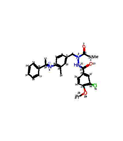 CNC(=O)N(Cc1ccc(/N=C(\C)c2ccccc2)c(C)c1)NC(=O)c1ccc(OC(C)C)c(Cl)c1